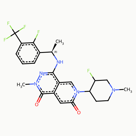 C[C@@H](Nc1nn(C)c(=O)c2cc(=O)n(C3CCN(C)CC3F)cc12)c1cccc(C(F)(F)F)c1F